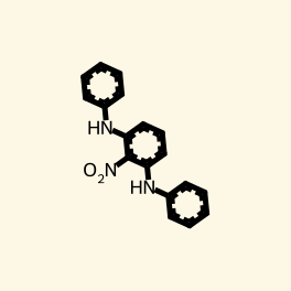 O=[N+]([O-])c1c(Nc2ccccc2)cccc1Nc1ccccc1